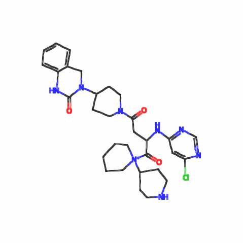 O=C(CC(Nc1cc(Cl)ncn1)C(=O)[N+]1(C2CCNCC2)CCCCC1)N1CCC(N2Cc3ccccc3NC2=O)CC1